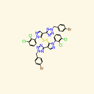 Clc1cccc(-n2ncc(-c3nnn(Cc4ccc(Br)cc4)n3)c2SSc2c(-c3nnn(Cc4ccc(Br)cc4)n3)cnn2-c2cccc(Cl)c2Cl)c1Cl